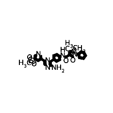 Cc1c(C(=O)Nc2ccc(-c3nc(-c4cncc(S(C)(=O)=O)c4)cnc3N)cc2)c(=O)n(-c2ccccc2)n1C